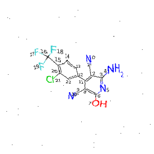 N#Cc1c(N)nc(O)c(C#N)c1-c1ccc(C(F)(F)F)c(Cl)c1